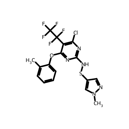 Cc1ccccc1Oc1nc(NSc2cnn(C)c2)nc(Cl)c1C(F)(F)C(F)(F)F